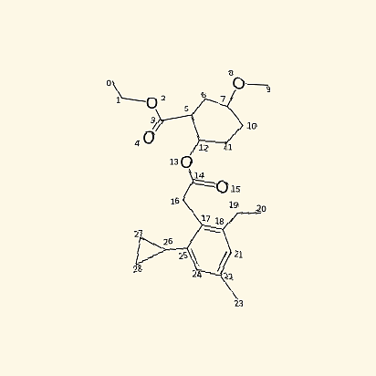 CCOC(=O)C1CC(OC)CCC1OC(=O)Cc1c(CC)cc(C)cc1C1CC1